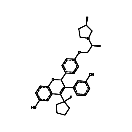 C[C@@H]1CCN([C@@H](C)COc2ccc(C3Oc4ccc(O)cc4C(C4(F)CCCC4)=C3c3cccc(O)c3)cc2)C1